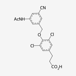 CC(=O)Nc1cc(C#N)cc(COc2c(Cl)cc(CCC(=O)O)cc2Cl)c1